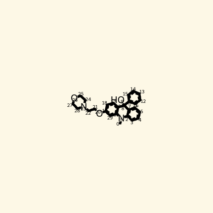 CN1c2ccccc2C(O)(c2ccccc2)c2ccc(OCCN3CCOCC3)cc21